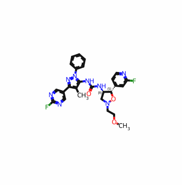 COCCN1C[C@@H](NC(=O)Nc2c(C)c(-c3cnc(F)nc3)nn2-c2ccccc2)[C@H](c2ccnc(F)c2)O1